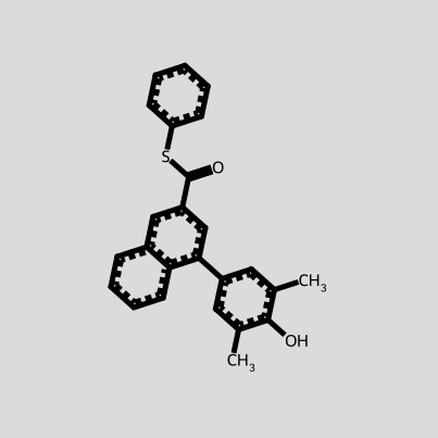 Cc1cc(-c2cc(C(=O)Sc3ccccc3)cc3ccccc23)cc(C)c1O